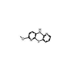 COc1ccc2c(n1)Sc1cccnc1N2